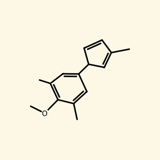 COc1c(C)cc(C2C=CC(C)=C2)cc1C